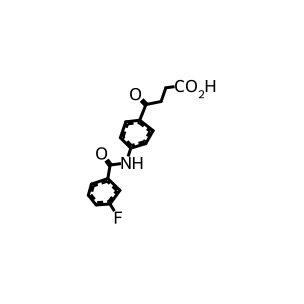 O=C(O)CCC(=O)c1ccc(NC(=O)c2cccc(F)c2)cc1